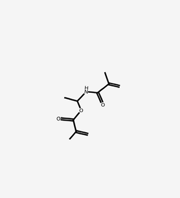 C=C(C)C(=O)NC(C)OC(=O)C(=C)C